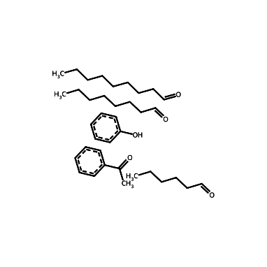 CC(=O)c1ccccc1.CCCCCC=O.CCCCCCCC=O.CCCCCCCCC=O.Oc1ccccc1